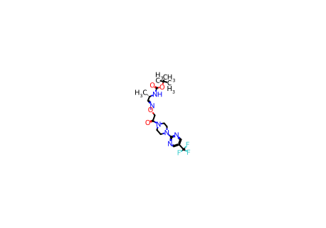 C[C@@H](/C=N/OCC(=O)N1CCN(c2ncc(C(F)(F)F)cn2)CC1)NC(=O)OC(C)(C)C